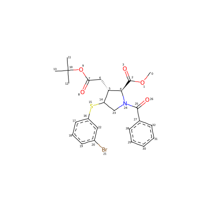 COC(=O)[C@@H]1[C@@H](CC(=O)OC(C)(C)C)C(Sc2cccc(Br)c2)CN1C(=O)c1ccccc1